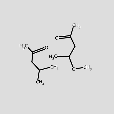 CC(=O)CC(C)C.COC(C)CC(C)=O